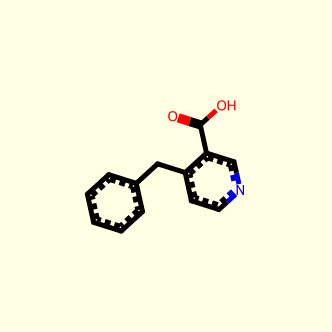 O=C(O)c1cnccc1Cc1ccccc1